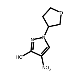 O=[N+]([O-])c1cn(C2CCOC2)nc1O